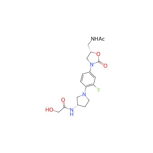 CC(=O)NC[C@H]1CN(c2ccc(N3CC[C@H](NC(=O)CO)C3)c(F)c2)C(=O)O1